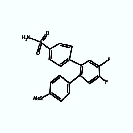 CSc1ccc(-c2cc(F)c(F)cc2-c2ccc(S(N)(=O)=O)cc2)cc1